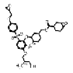 C[C@H](CO)COc1ccc(S(=O)(=O)c2ccc(OCC3CO3)cc2)c(OC2CC(COC(=O)C3CCC4OC4C3)CC[C@H]2C)c1